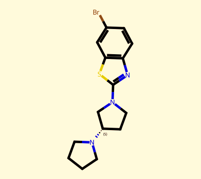 Brc1ccc2nc(N3CC[C@H](N4CCCC4)C3)sc2c1